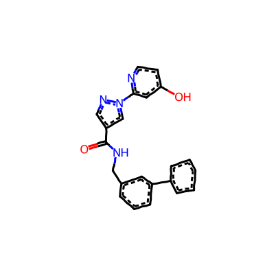 O=C(NCc1cccc(-c2ccccc2)c1)c1cnn(-c2cc(O)ccn2)c1